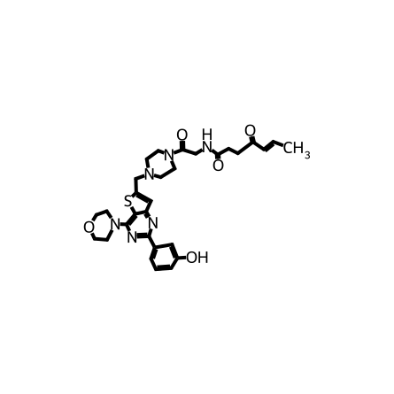 C/C=C/C(=O)CCC(=O)NCC(=O)N1CCN(Cc2cc3nc(-c4cccc(O)c4)nc(N4CCOCC4)c3s2)CC1